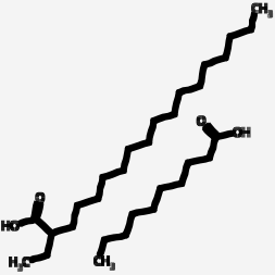 CCCCCCCCCC(=O)O.CCCCCCCCCCCCCCCCC(CC)C(=O)O